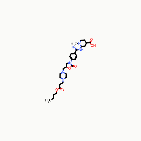 CCCCOC(=O)CCN1CCN(CC2CN(c3ccc(C(=N)NC4CC(C(=O)O)CCN4C)cc3)C(=O)O2)CC1